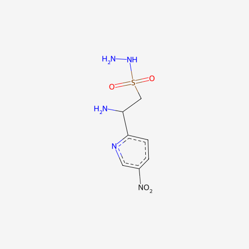 NNS(=O)(=O)CC(N)c1ccc([N+](=O)[O-])cn1